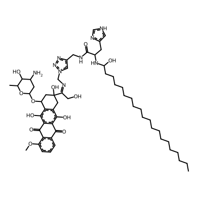 CCCCCCCCCCCCCCCCCCCC(O)NC(Cc1c[nH]cn1)C(=O)NCc1cn(C/N=C(/CO)C2(O)Cc3c(O)c4c(c(O)c3C(OC3CC(N)C(O)C(C)O3)C2)C(=O)c2c(OC)cccc2C4=O)nn1